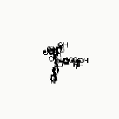 COC(=O)CC1C(=O)N(CC(=O)O)CCN1C(=O)C(CC(=O)N1CCN(c2ccncc2)CC1)NCc1ccc(OC)cc1.O=C(O)C(F)(F)F